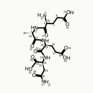 C[C@H](NC(=O)[C@@H](N)CCC(=O)O)C(=O)N[C@@H](CCC(=O)O)C(=O)N[C@@H](CC(N)=O)C(=O)O